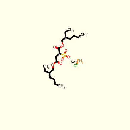 CCCCC(CC)COC(=O)CC(C(=O)OCC(CC)CCCC)S(=O)(=O)[O-].PCl.[Na+]